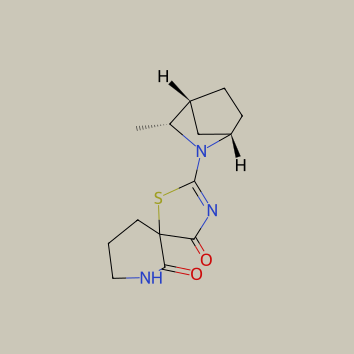 C[C@@H]1[C@@H]2CC[C@@H](C2)N1C1=NC(=O)C2(CCCNC2=O)S1